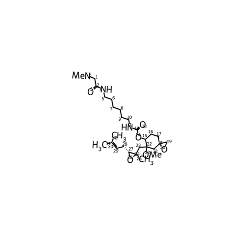 CNCC(=O)NCCCCCCNC(=O)OC1CC[C@]2(CO2)CC1(CC1(C)O[C@@H]1CC=C(C)C)OC